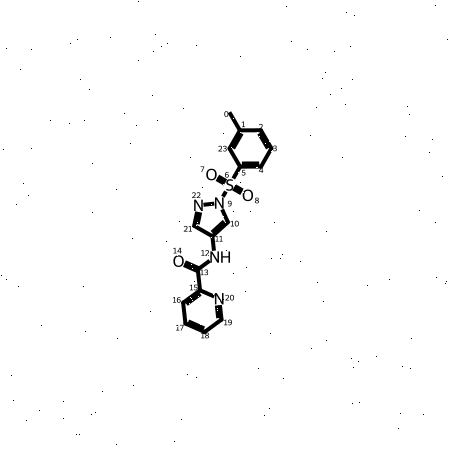 Cc1cccc(S(=O)(=O)n2cc(NC(=O)c3ccccn3)cn2)c1